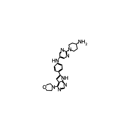 NC1CCN(c2ncc(Nc3ccc(-c4cc5c(N6CCOCC6)ncnc5[nH]4)cc3)cn2)CC1